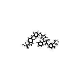 CCS(=O)(=O)Nc1ccc(Oc2ccc(CN3CC[C@@H](N(C(=O)Nc4ccc(F)c(C(N)=O)c4)c4ccccc4)C3)cn2)cc1